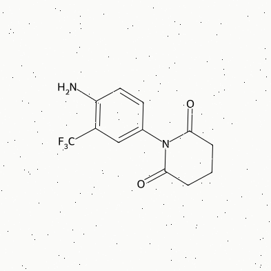 Nc1ccc(N2C(=O)CCCC2=O)cc1C(F)(F)F